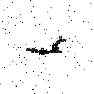 CCCNc1ccc(C2=CN3C(=O)c4cc(OC)c(OCCCOc5cc6c(cc5C)C(=O)N5C=C(c7ccc(C(=O)OC)cc7)C[C@H]5C=N6)cc4N=C[C@@H]3C2)cc1